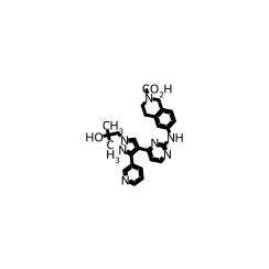 CC(C)(O)Cn1cc(-c2ccnc(Nc3ccc4c(c3)CCN(C(=O)O)C4)n2)c(-c2cccnc2)n1